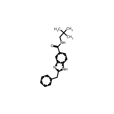 CC(C)(C)CNC(=O)c1ccc2[nH]c(Cc3ccccc3)nc2c1